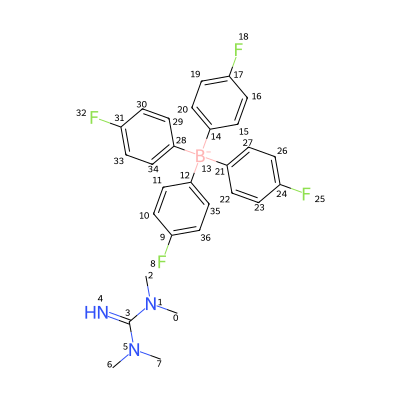 CN(C)C(=N)N(C)C.Fc1ccc([B-](c2ccc(F)cc2)(c2ccc(F)cc2)c2ccc(F)cc2)cc1